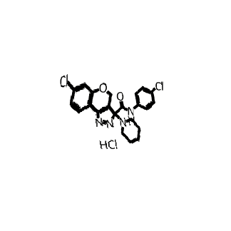 Cl.O=C(Nc1ccc(Cl)cc1)C1(N2CCCCC2)N=NC2=C1COc1cc(Cl)ccc12